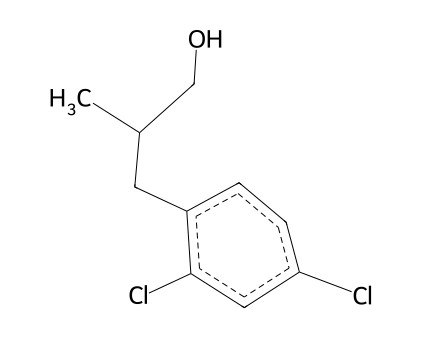 CC(CO)Cc1ccc(Cl)cc1Cl